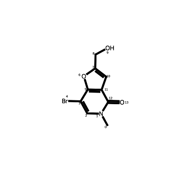 Cn1cc(Br)c2oc(CO)cc2c1=O